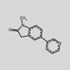 CN1C(=O)Cc2cc(-c3cccnc3)ccc21